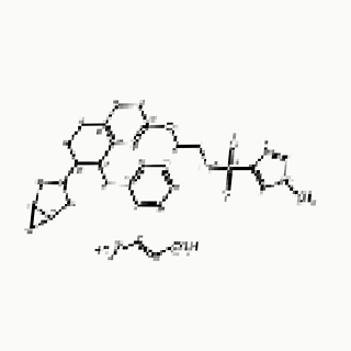 Cn1cnc(S(=O)(=O)NCCOc2ccc3c(c2)C(Cc2ccccc2)C(N2CC4CC4C2)CC3)c1.O=C(O)C=CC(=O)O